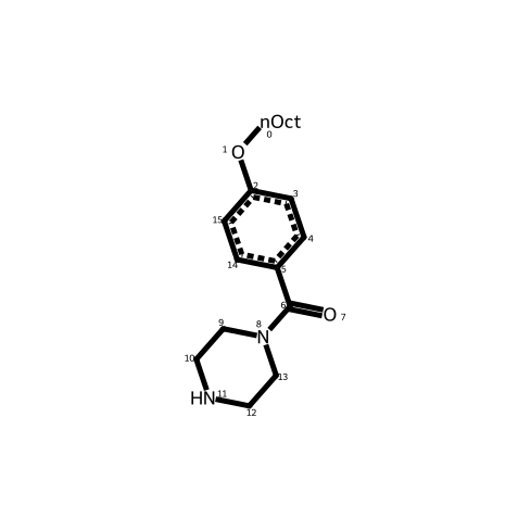 CCCCCCCCOc1ccc(C(=O)N2CCNCC2)cc1